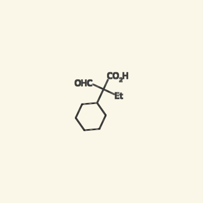 CCC(C=O)(C(=O)O)C1CCCCC1